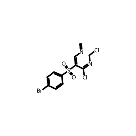 C=N/C=C(\C(Cl)=N/CCl)S(=O)(=O)c1ccc(Br)cc1